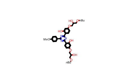 CCCCOCC(O)COc1ccc(-c2nc(-c3ccc(OC)cc3)nc(-c3ccc(OCC(O)COCCCC)cc3O)n2)c(O)c1